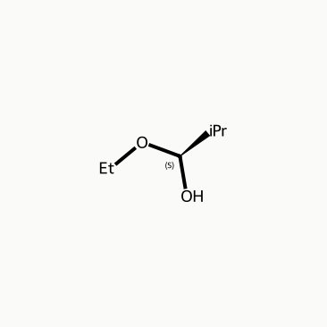 CCO[C@H](O)C(C)C